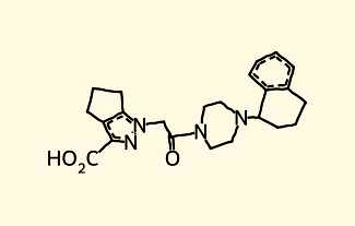 O=C(O)c1nn(CC(=O)N2CCN(C3CCCc4ccccc43)CC2)c2c1CCC2